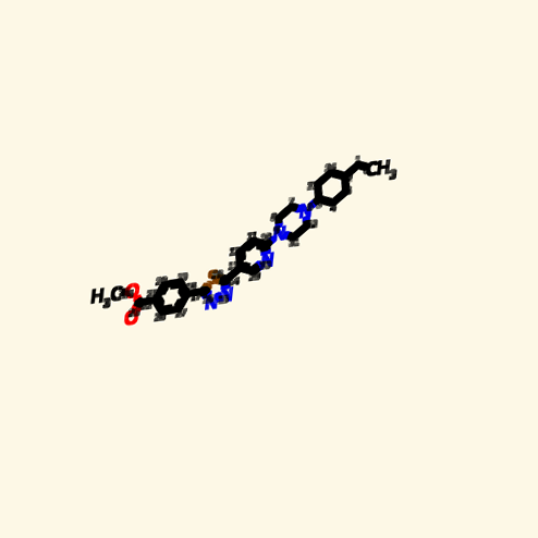 CCC1CCC(N2CCN(c3ccc(-c4nnc(-c5ccc(C(=O)OC)cc5)s4)cn3)CC2)CC1